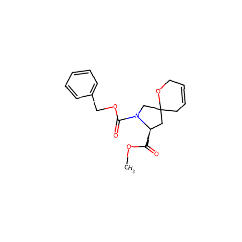 COC(=O)[C@@H]1CC2(CC=CCO2)CN1C(=O)OCc1ccccc1